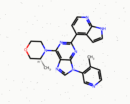 Cc1ccncc1-n1cnc2c(N3CCOC[C@H]3C)nc(-c3ccnc4[nH]ccc34)nc21